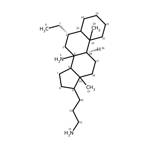 CC[C@H]1CC2(N)C3CCC(CCCN)C3(C)CC[C@@H]2C2(C)CCCCC12